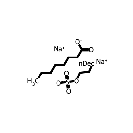 CCCCCCCC(=O)[O-].CCCCCCCCCCCCOS(=O)(=O)[O-].[Na+].[Na+]